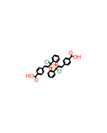 O=C(O)c1ccc(C=CC(Cl)(c2ccccc2)S(=O)(=O)C(Cl)(C=Cc2ccc(C(=O)O)cc2)c2ccccc2)cc1